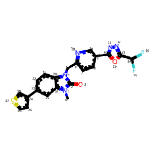 Cn1c(=O)n(Cc2ccc(-c3nnc(C(F)F)o3)cn2)c2ccc(-c3ccsc3)cc21